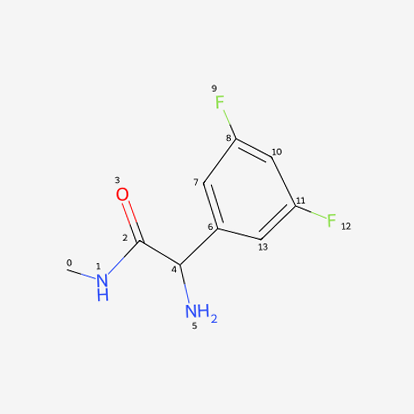 CNC(=O)C(N)c1cc(F)cc(F)c1